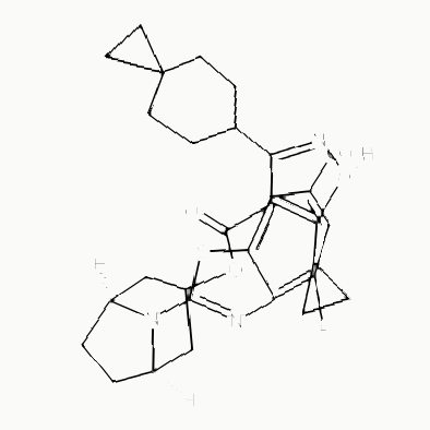 O=C(O)c1cc(F)c2nc(N3[C@@H]4CC[C@H]3CC(OC(=O)c3c(C5CCC6(CC5)CC6)noc3C3CC3)C4)sc2c1